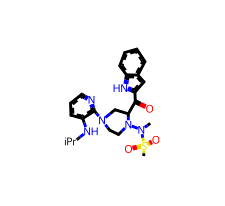 CC(C)Nc1cccnc1N1CCN(N(C)S(C)(=O)=O)C(C(=O)c2cc3ccccc3[nH]2)C1